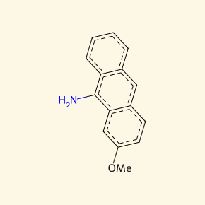 COc1ccc2cc3ccccc3c(N)c2c1